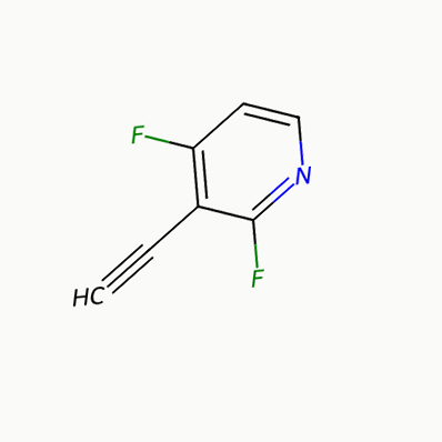 C#Cc1c(F)ccnc1F